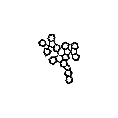 c1ccc(C2(c3ccccc3)c3ccccc3-c3ccc(N(c4ccccc4-c4ccc5oc6cc7ccccc7cc6c5c4)c4cccc5c4-c4ccccc4C54c5ccccc5-c5ccccc54)cc32)cc1